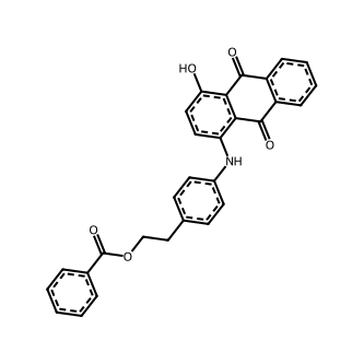 O=C(OCCc1ccc(Nc2ccc(O)c3c2C(=O)c2ccccc2C3=O)cc1)c1ccccc1